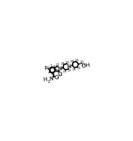 NC(=O)c1cc(F)cc2c1C(=O)N(C1CCN([C@H]3CC[C@H](CO)CC3)CC1)C2